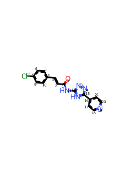 O=C(C=Cc1ccc(Cl)cc1)Nc1nnc(-c2ccncc2)[nH]1